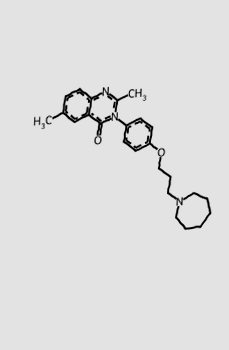 Cc1ccc2nc(C)n(-c3ccc(OCCCN4CCCCCC4)cc3)c(=O)c2c1